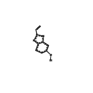 C=Cn1nc2ccc(OCC)cc2n1